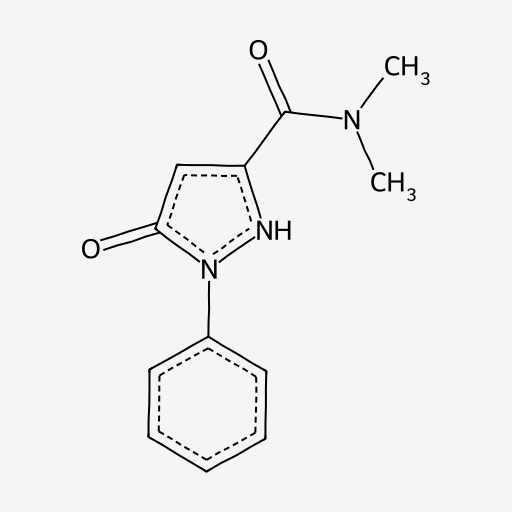 CN(C)C(=O)c1cc(=O)n(-c2ccccc2)[nH]1